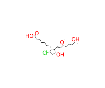 CO[C@H](/C=C/[C@@H]1[C@@H](CCCCCCC(=O)O)[C@H](Cl)C[C@H]1O)CCC[C@@H](C)O